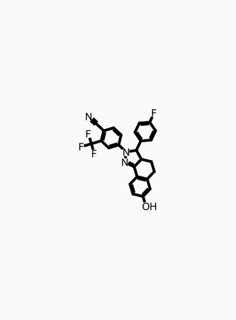 N#Cc1ccc(N2N=C3c4ccc(O)cc4CCC3C2c2ccc(F)cc2)cc1C(F)(F)F